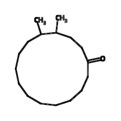 CC1CCCCCCCCCCC(=O)CCC1C